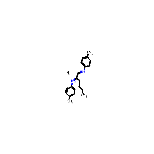 CCCCC(/C=N/c1ccc(C)cc1)=N\c1ccc(C)cc1.[Ni]